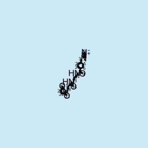 [N-]=[N+]=NCc1ccc(C(=O)NCCCNC(=O)CCN2C(=O)C=CC2=O)cc1